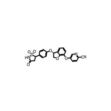 N#Cc1ccc(Oc2cccc3c2OC[C@H]3Oc2ccc(C3CC(=O)NS3(=O)=O)cc2)cn1